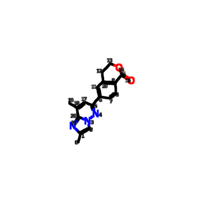 Cc1cn2nc(-c3ccc4c(c3)CCOC4=O)cc(C)c2n1